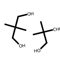 CC(C)(C=O)CO.CC(C)(CO)CO